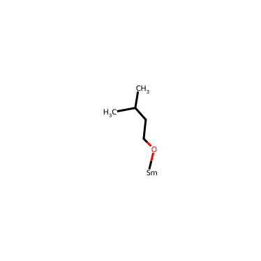 CC(C)CC[O][Sm]